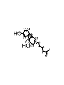 CC(C)CCCCN1CC[C@](C)(c2cccc(O)c2)[C@@H](C)C1.Cl